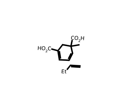 C=CCC.CC1(C(=O)O)C=CC=C(C(=O)O)C1